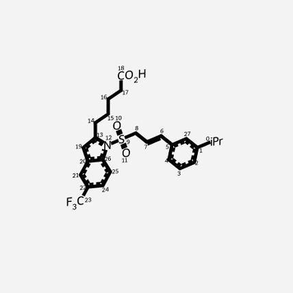 CC(C)c1cccc(C=CCS(=O)(=O)n2c(CCCCC(=O)O)cc3cc(C(F)(F)F)ccc32)c1